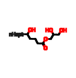 CCCCCCCC(O)CCCC(=O)OCC(O)CO